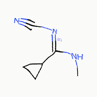 CN/C(=N/C#N)C1CC1